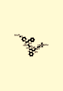 CCCC[C@H](NC(Cc1ccccc1)C(=O)N1CCC(OCOC)CC1)C(=O)N[C@@H](CC1CCCCC1)[C@@H](O)C[C@H](C(=O)NCCNS(=O)(=O)NC)C(C)C